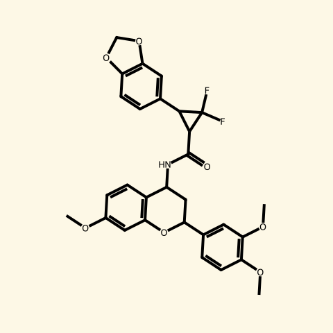 COc1ccc2c(c1)OC(c1ccc(OC)c(OC)c1)CC2NC(=O)C1C(c2ccc3c(c2)OCO3)C1(F)F